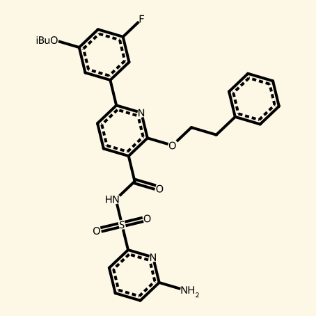 CC(C)COc1cc(F)cc(-c2ccc(C(=O)NS(=O)(=O)c3cccc(N)n3)c(OCCc3ccccc3)n2)c1